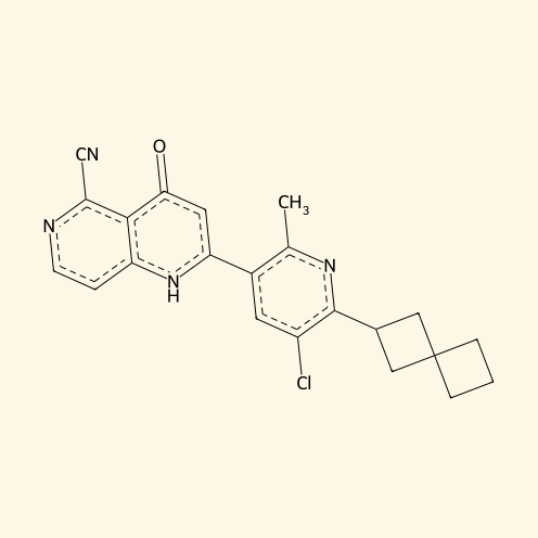 Cc1nc(C2CC3(CCC3)C2)c(Cl)cc1-c1cc(=O)c2c(C#N)nccc2[nH]1